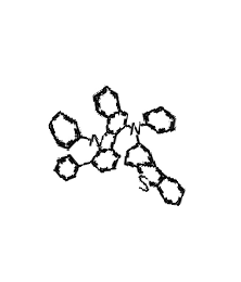 c1ccc(-c2cccc3c4c(N(c5ccccc5)c5ccc6sc7ccccc7c6c5)cc5ccccc5c4n(-c4ccccc4)c23)cc1